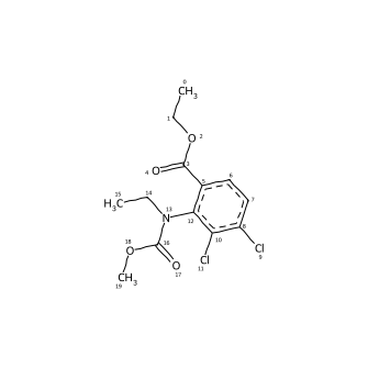 CCOC(=O)c1ccc(Cl)c(Cl)c1N(CC)C(=O)OC